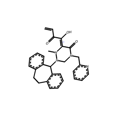 C=CC(=O)/C(O)=C1/C(=O)N(Cc2ccccn2)CN(C2c3ccccc3CCc3ccccc32)N1C